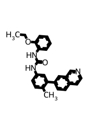 CCOc1ccccc1NC(=O)Nc1ccc(C)c(-c2ccc3ccncc3c2)c1